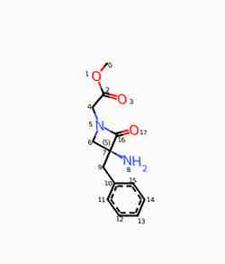 COC(=O)CN1C[C@@](N)(Cc2ccccc2)C1=O